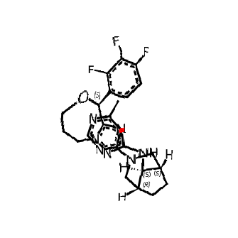 Cc1cc(N2C[C@H]3CC[C@@H](C2)[C@@H]3Nc2nc3n(n2)CCCO[C@H]3c2ccc(F)c(F)c2F)ncn1